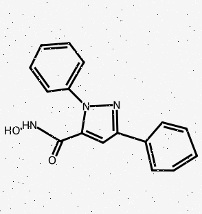 O=C(NO)c1cc(-c2ccccc2)nn1-c1ccccc1